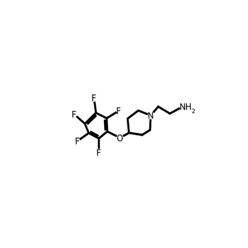 NCCN1CCC(Oc2c(F)c(F)c(F)c(F)c2F)CC1